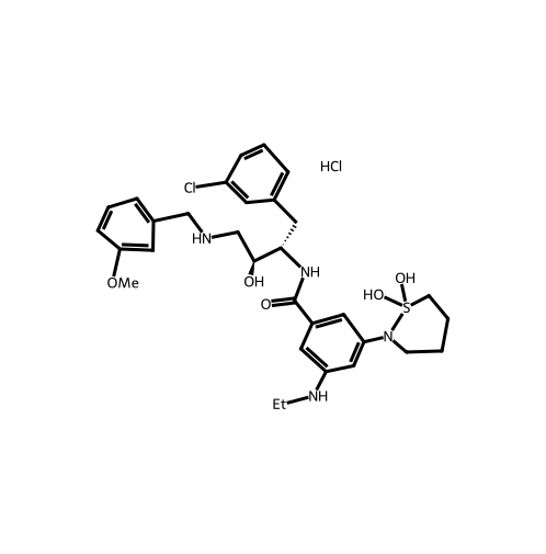 CCNc1cc(C(=O)N[C@@H](Cc2cccc(Cl)c2)[C@@H](O)CNCc2cccc(OC)c2)cc(N2CCCCS2(O)O)c1.Cl